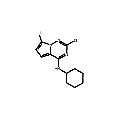 Clc1nc(NC2CCCCC2)c2ccc(Cl)n2n1